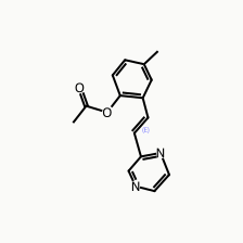 CC(=O)Oc1ccc(C)cc1/C=C/c1cnccn1